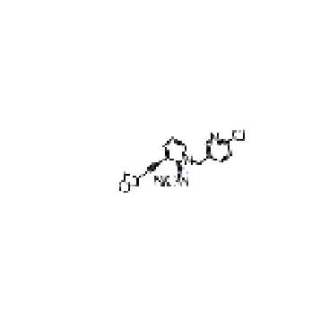 N#C/N=c1\c(C#CC2COC2)cccn1Cc1ccc(Cl)nc1